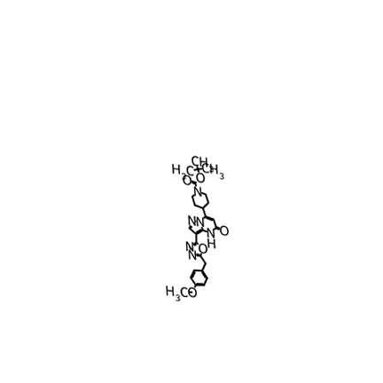 COc1ccc(Cc2nnc(-c3cnn4c(C5CCN(C(=O)OC(C)(C)C)CC5)cc(=O)[nH]c34)o2)cc1